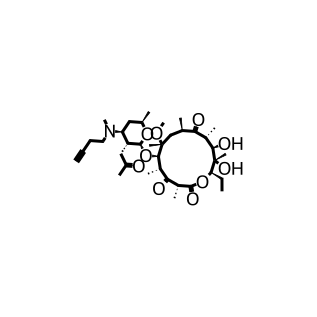 C#CCCN(C)[C@H]1C[C@@H](C)O[C@@H](O[C@@H]2[C@@H](C)C(=O)[C@@H](C)C(=O)O[C@H](CC)[C@@](C)(O)[C@H](O)[C@@H](C)C(=O)[C@H](C)C[C@@]2(C)OC)[C@@H]1CC(C)=O